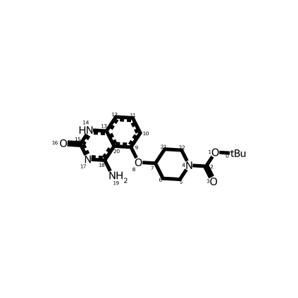 CC(C)(C)OC(=O)N1CCC(Oc2cccc3[nH]c(=O)nc(N)c23)CC1